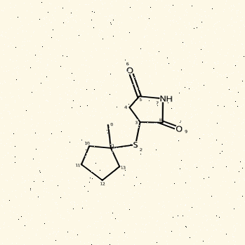 CC1(SC2CC(=O)NC2=O)CCCC1